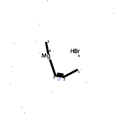 Br.C/C=[CH]\[Mg][CH3]